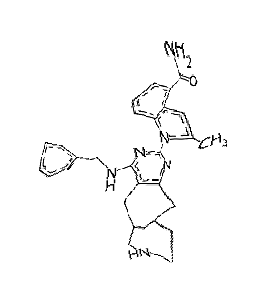 Cc1cc2c(C(N)=O)cccc2n1-c1nc2c(c(NCc3ccccc3)n1)CC1CNCCC1C2